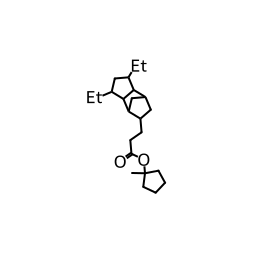 CCC1CC(CC)C2C3CC(CC3CCC(=O)OC3(C)CCCC3)C12